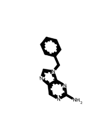 Nc1ncc2ncn(Cc3ccccc3)c2n1